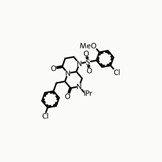 COc1ccc(Cl)cc1S(=O)(=O)N1CCC(=O)N2C(Cc3ccc(Cl)cc3)C(=O)N(C(C)C)CC21